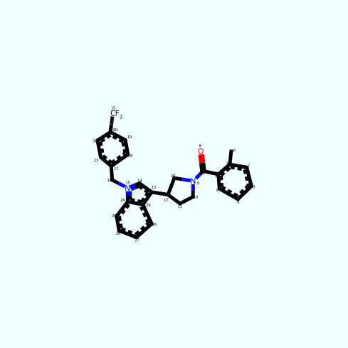 Cc1ccccc1C(=O)N1CCC(c2cn(Cc3ccc(C(F)(F)F)cc3)c3ccccc23)C1